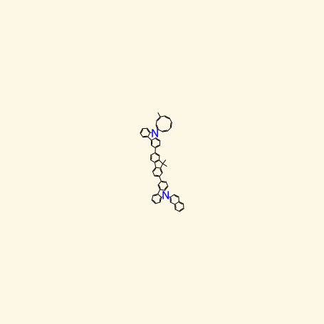 Cc1ccccccc(-n2c3ccccc3c3cc(-c4ccc5c(c4)C(C)(C)c4cc(-c6ccc7c(c6)c6ccccc6n7-c6ccc7ccccc7c6)ccc4-5)ccc32)cc1